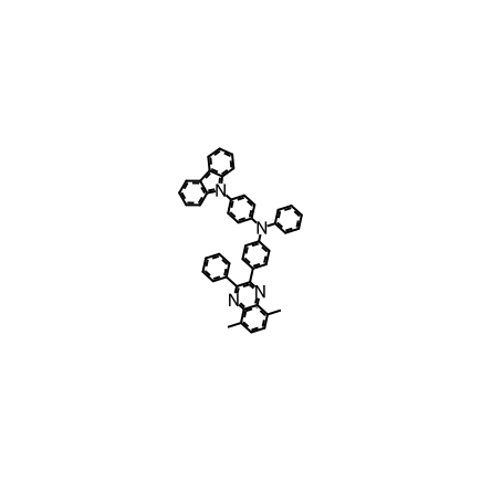 Cc1ccc(C)c2nc(-c3ccc(N(c4ccccc4)c4ccc(-n5c6ccccc6c6ccccc65)cc4)cc3)c(-c3ccccc3)nc12